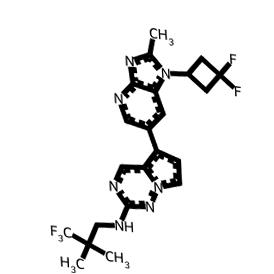 Cc1nc2ncc(-c3ccn4nc(NCC(C)(C)C(F)(F)F)ncc34)cc2n1C1CC(F)(F)C1